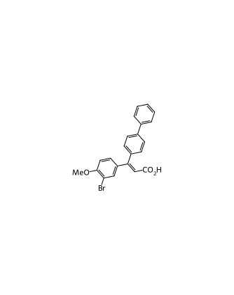 COc1ccc(C(=CC(=O)O)c2ccc(-c3ccccc3)cc2)cc1Br